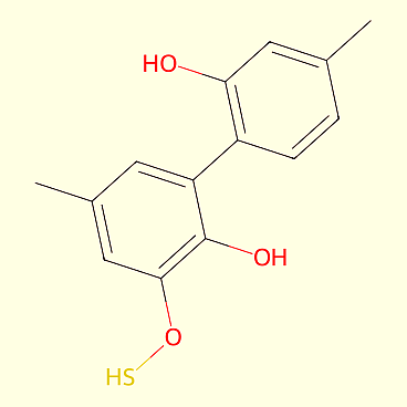 Cc1ccc(-c2cc(C)cc(OS)c2O)c(O)c1